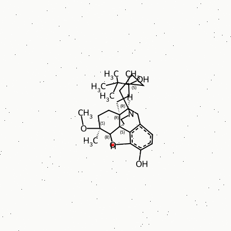 CO[C@@]1(C)CC[C@@]2(CC[C@](C)(O)C(C)(C)C)[C@H]3Cc4ccc(O)c5c4[C@@]2(CCN3CC2CC2)[C@H]1O5